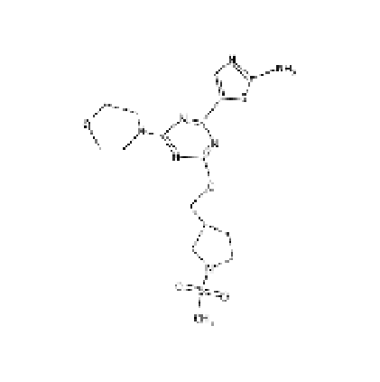 CS(=O)(=O)N1CCC(COc2nc(-c3cnc(N)s3)nc(N3CCOCC3)n2)C1